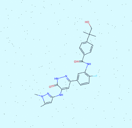 Cc1cc(Nc2cc(-c3ccc(F)c(NC(=O)c4ccc(C(C)(C)CO)cc4)c3)n[nH]c2=O)nn1C